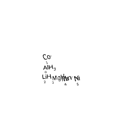 [AlH3].[Co].[LiH].[MgH2].[Mn].[Ni]